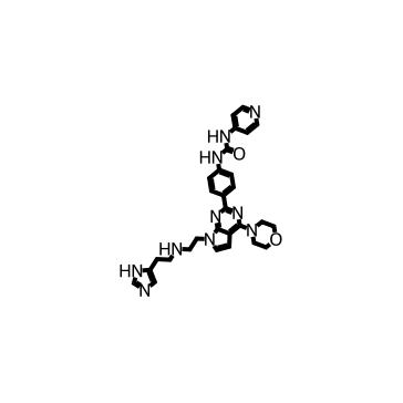 O=C(Nc1ccncc1)Nc1ccc(-c2nc(N3CCOCC3)c3ccn(CCNCCc4cnc[nH]4)c3n2)cc1